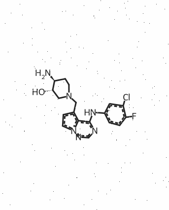 N[C@H]1CCN(Cc2ccn3ncnc(Nc4ccc(F)c(Cl)c4)c23)C[C@@H]1O